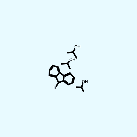 CC(C)O.CC(C)O.CC(C)O.[Ti][CH]1c2ccccc2-c2ccccc21